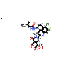 CC[C@@]1(O)C(=O)OCc2c1cc1n(c2=O)Cc2c-1nc1cc(F)c(Cl)c3c1c2C(NC(=O)CC(C)C(C)(C)C)CC3